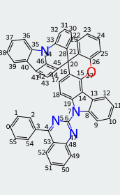 c1ccc(-c2nc(-n3c4ccccc4c4c5c(ccc43)C3(c4ccccc4O5)c4ccccc4-n4c5ccccc5c5cccc3c54)nc3ccccc23)cc1